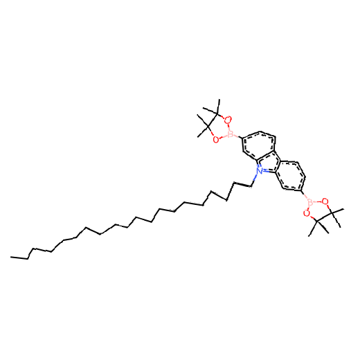 CCCCCCCCCCCCCCCCCCCCn1c2cc(B3OC(C)(C)C(C)(C)O3)ccc2c2ccc(B3OC(C)(C)C(C)(C)O3)cc21